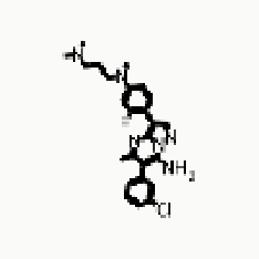 Cc1nc2c(-c3ccc(N(C)CCCN(C)C)cc3F)cnn2c(N)c1-c1cccc(Cl)c1